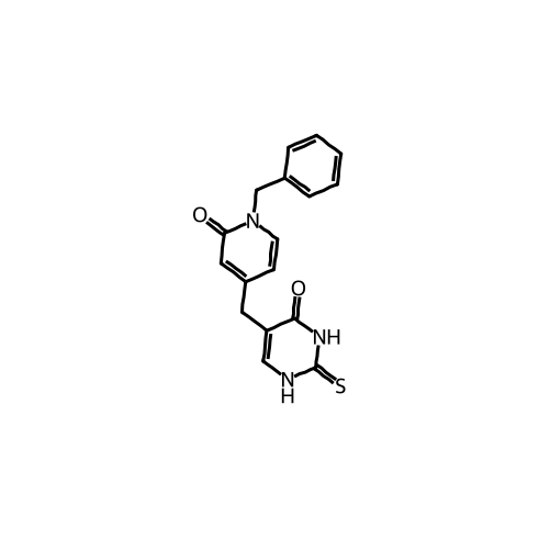 O=c1[nH]c(=S)[nH]cc1Cc1ccn(Cc2ccccc2)c(=O)c1